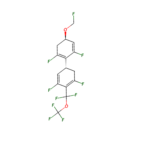 FCO[C@H]1C=C(F)C([C@H]2C=C(F)C(C(F)(F)OC(F)(F)F)=C(F)C2)=C(F)C1